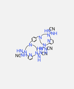 N#CNC(=N)N1CCCCN(Cc2ccc(CN3CCCN(C(=N)NC#N)Cc4cccc(n4)CN(C(=N)NC#N)CCC3)cc2)CCCN(C(=N)NC#N)Cc2cccc(n2)C1